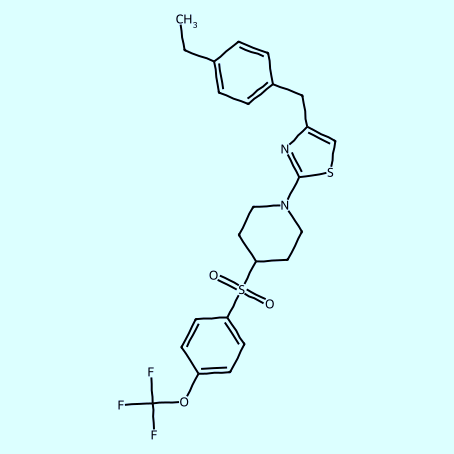 CCc1ccc(Cc2csc(N3CCC(S(=O)(=O)c4ccc(OC(F)(F)F)cc4)CC3)n2)cc1